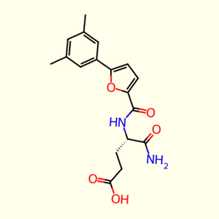 Cc1cc(C)cc(-c2ccc(C(=O)N[C@@H](CCC(=O)O)C(N)=O)o2)c1